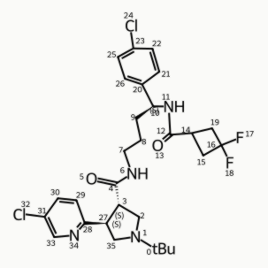 CC(C)(C)N1C[C@@H](C(=O)NCCC[C@H](NC(=O)C2CC(F)(F)C2)c2ccc(Cl)cc2)[C@H](c2ccc(Cl)cn2)C1